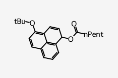 CCCCCC(=O)OC1C=Cc2c(OC(C)(C)C)ccc3cccc1c23